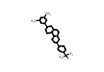 Cc1cc(C)cc(-c2ccc3c(ccc4cc(-c5ccc(C(C)(F)C(F)(F)F)cc5)ccc43)c2)c1